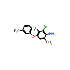 Cc1cc(Oc2cccc(C(F)(F)F)c2)c(C)c(Br)c1N